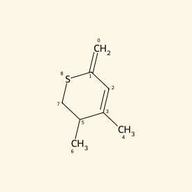 C=C1C=C(C)C(C)CS1